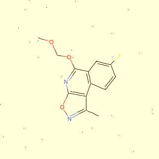 COCOc1nc2onc(C)c2c2ccc(F)cc12